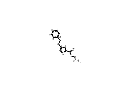 CCOC(=O)c1cc(CCc2ccccc2)no1